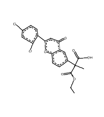 CCOC(=O)C(C)(C(=O)O)c1ccc2oc(-c3ccc(Cl)cc3Cl)cc(=O)c2c1